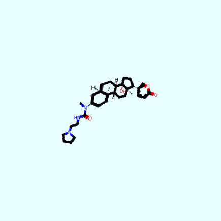 CN(C(=O)NCCN1CCCC1)[C@H]1CC[C@@]2(C)[C@H](CC[C@@H]3[C@@H]2CC[C@]2(C)[C@@H](c4ccc(=O)oc4)CC[C@]32O)C1